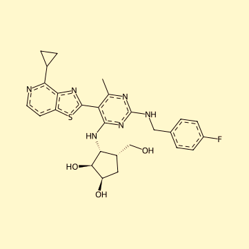 Cc1nc(NCc2ccc(F)cc2)nc(N[C@@H]2[C@H](CO)C[C@@H](O)[C@H]2O)c1-c1nc2c(C3CC3)nccc2s1